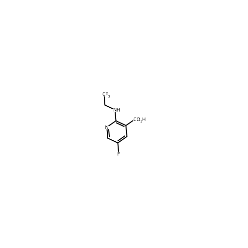 O=C(O)c1cc(F)cnc1NCC(F)(F)F